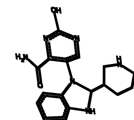 NC(=O)c1nc(O)ncc1N1c2ccccc2NC1C1CCCNC1